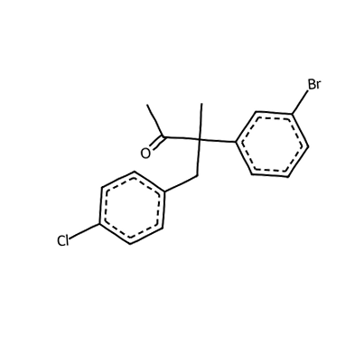 CC(=O)C(C)(Cc1ccc(Cl)cc1)c1cccc(Br)c1